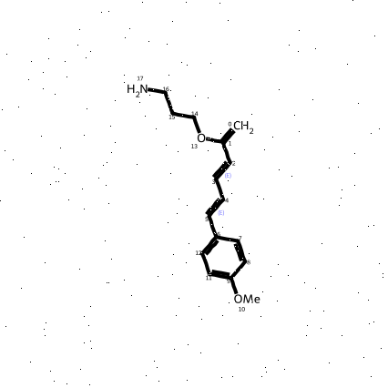 C=C(/C=C/C=C/c1ccc(OC)cc1)OCCCN